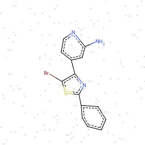 Nc1cc(-c2nc(-c3ccccc3)sc2Br)ccn1